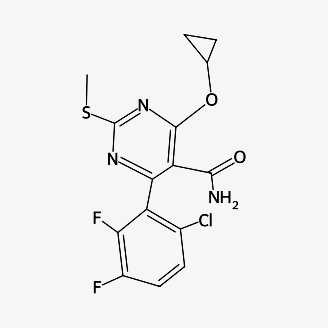 CSc1nc(OC2CC2)c(C(N)=O)c(-c2c(Cl)ccc(F)c2F)n1